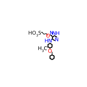 Cc1cc(Nc2cncc3[nH]nc(OCCCS(=O)(=O)O)c23)ccc1OCc1ccccc1